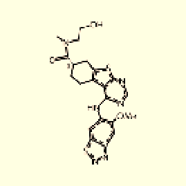 COc1cc2nnsc2cc1Nc1ncnc2sc3c(c12)CC[C@H](C(=O)N(C)CCO)C3